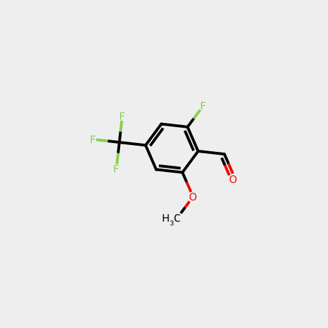 COc1cc(C(F)(F)F)cc(F)c1C=O